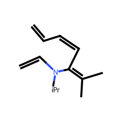 C=C/C=C\C(=C(C)C)N(C=C)C(C)C